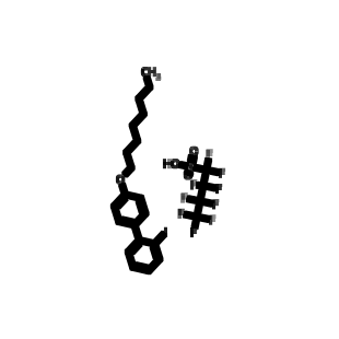 CCCCCCCCOc1ccc(-c2ccccc2I)cc1.O=S(=O)(O)C(F)(F)C(F)(F)C(F)(F)C(F)(F)F